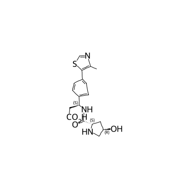 Cc1ncsc1-c1ccc([C@H](CC(=O)O)NC(=O)[C@@H]2C[C@@H](O)CN2)cc1